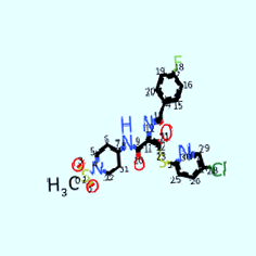 CS(=O)(=O)N1CCC(NC(=O)c2nc(-c3ccc(F)cc3)oc2Sc2ccc(Cl)cn2)CC1